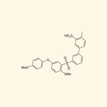 CSc1ccc(Sc2ccc(SC)c(S(=O)(=O)c3cccc(-c4ccc(C)c(S(=O)(=O)O)c4)c3)c2)cc1